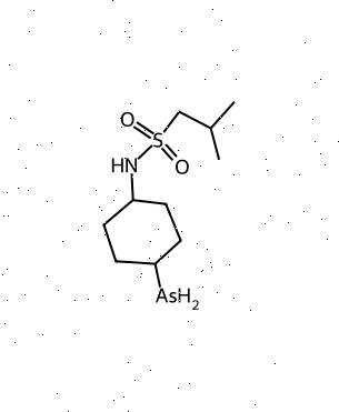 CC(C)CS(=O)(=O)NC1CCC([AsH2])CC1